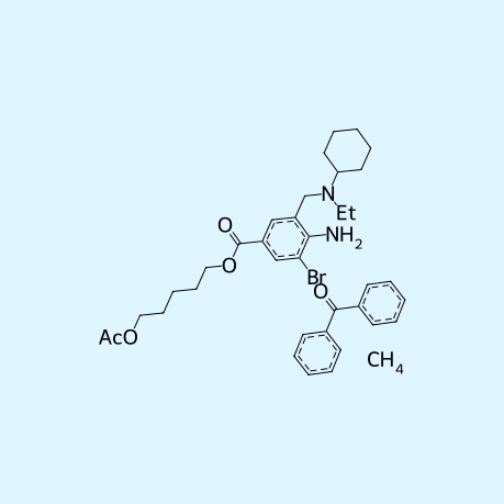 C.CCN(Cc1cc(C(=O)OCCCCCOC(C)=O)cc(Br)c1N)C1CCCCC1.O=C(c1ccccc1)c1ccccc1